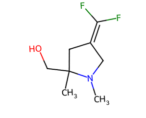 CN1CC(=C(F)F)CC1(C)CO